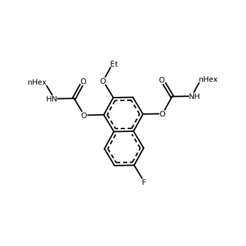 CCCCCCNC(=O)Oc1cc(OCC)c(OC(=O)NCCCCCC)c2ccc(F)cc12